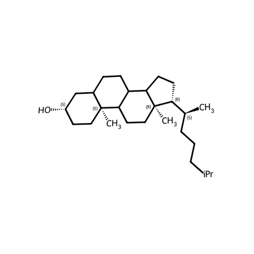 CC(C)CCC[C@H](C)[C@H]1CCC2C3CCC4C[C@@H](O)CC[C@]4(C)C3CC[C@@]21C